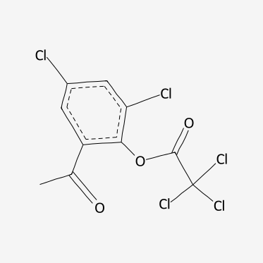 CC(=O)c1cc(Cl)cc(Cl)c1OC(=O)C(Cl)(Cl)Cl